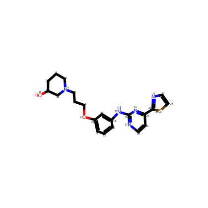 OC1CCCN(CCCOc2cccc(Nc3nccc(-c4nccs4)n3)c2)C1